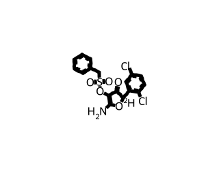 [2H]C1(c2cc(Cl)ccc2Cl)OC(N)=C(OS(=O)(=O)Cc2ccccc2)C1=O